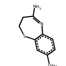 COc1ccc2c(c1)SCCC(N)=N2